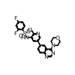 O=S(=O)(Nc1cc(-c2ccc3ncnc(N4CCOCC4)c3c2)cnc1Cl)c1ccc(F)cc1F